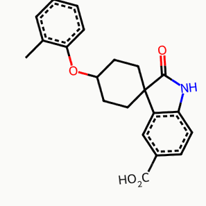 Cc1ccccc1OC1CCC2(CC1)C(=O)Nc1ccc(C(=O)O)cc12